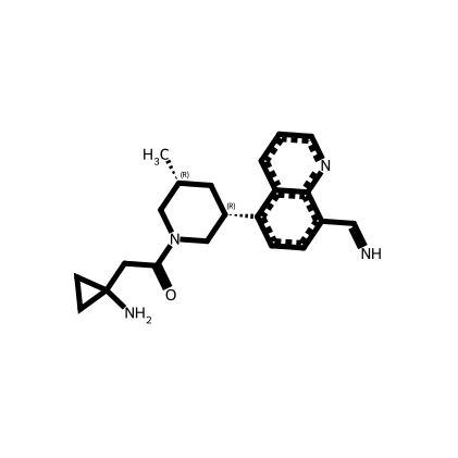 C[C@@H]1C[C@H](c2ccc(C=N)c3ncccc23)CN(C(=O)CC2(N)CC2)C1